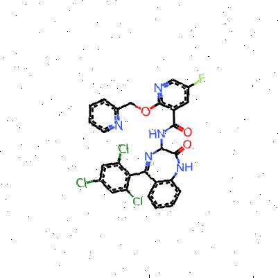 O=C(NC1N=C(c2c(Cl)cc(Cl)cc2Cl)c2ccccc2NC1=O)c1cc(F)cnc1OCc1ccccn1